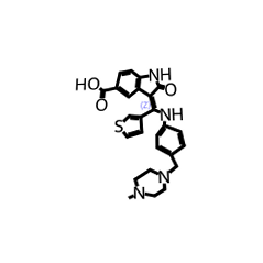 CN1CCN(Cc2ccc(N/C(=C3\C(=O)Nc4ccc(C(=O)O)cc43)c3ccsc3)cc2)CC1